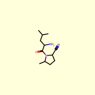 CC(C)CC(N)C(=O)N1C(C)CCC1C#N